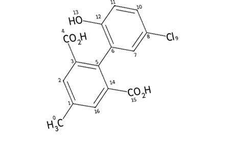 Cc1cc(C(=O)O)c(-c2cc(Cl)ccc2O)c(C(=O)O)c1